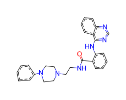 O=C(NCCN1CCN(c2ccccc2)CC1)c1ccccc1Nc1ncnc2ccccc12